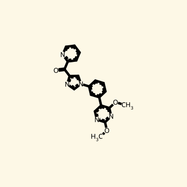 COc1ncc(-c2cccc(-n3cnc(C(=O)c4ccccn4)c3)c2)c(OC)n1